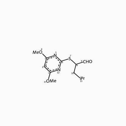 COc1cc(OC)nc(SC(C=O)CC(C)C)n1